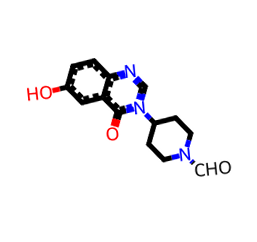 O=CN1CCC(n2cnc3ccc(O)cc3c2=O)CC1